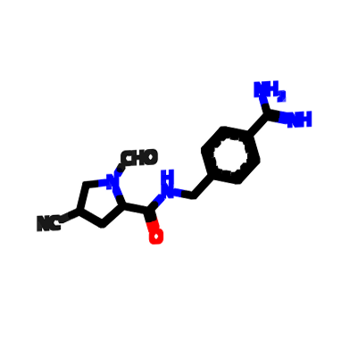 N#CC1CC(C(=O)NCc2ccc(C(=N)N)cc2)N(C=O)C1